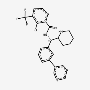 O=C(N[C@@H](c1cccc(-c2cncnc2)c1)C1CCCCN1)c1nccc(C(F)(F)F)c1Cl